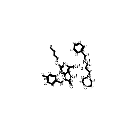 CCCCOc1nc(N)c2[nH]c(=O)n(Cc3ccc(C)cc3)c2n1.c1ccc(CNCCCN2CCOCC2)cc1